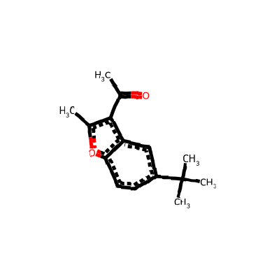 CC(=O)c1c(C)oc2ccc(C(C)(C)C)cc12